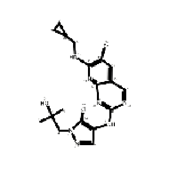 CC(C)(O)Cn1ncc(Nc2ncc3cc(Br)c(NCC4CC4)nc3n2)c1Cl